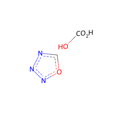 O=C(O)O.c1nnno1